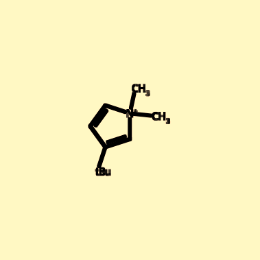 CC(C)(C)C1=C[N+](C)(C)C=C1